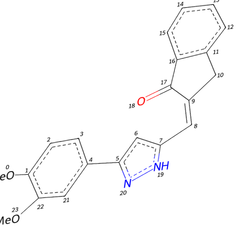 COc1ccc(-c2cc(C=C3Cc4ccccc4C3=O)[nH]n2)cc1OC